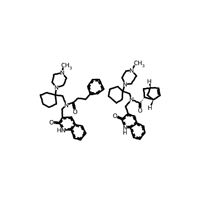 CN1CCN(C2(CN(Cc3cc4ccccc4[nH]c3=O)C(=O)CCc3ccccc3)CCCCC2)CC1.CN1CCN(C2(CN(Cc3cc4ccccc4[nH]c3=O)C(=O)[C@@H]3C[C@@H]4C=C[C@H]3C4)CCCCC2)CC1